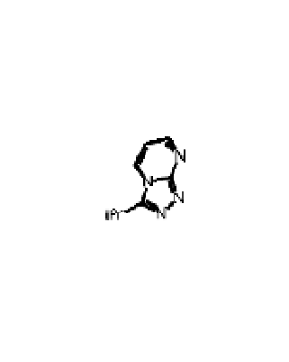 CC(C)c1nnc2ncccn12